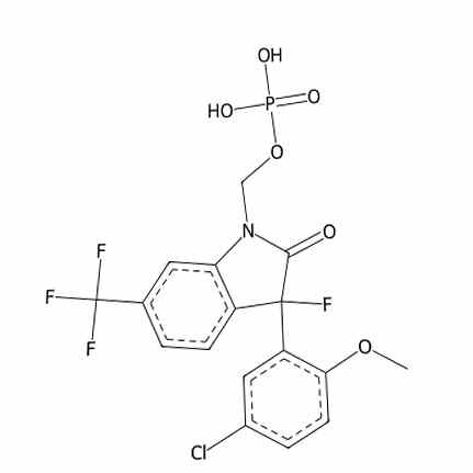 COc1ccc(Cl)cc1C1(F)C(=O)N(COP(=O)(O)O)c2cc(C(F)(F)F)ccc21